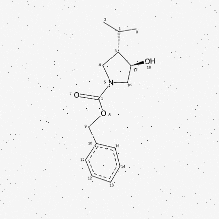 CC(C)[C@H]1CN(C(=O)OCc2ccccc2)C[C@@H]1O